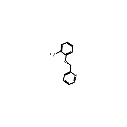 Cc1ccccc1OCc1ccccn1